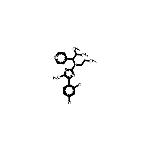 CCCN(c1nc(-c2ccc(Cl)cc2Cl)c(C)s1)C(c1ccncc1)C(C)C